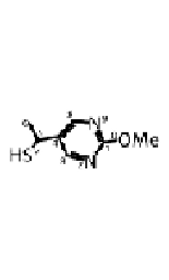 COc1ncc(C(C)S)cn1